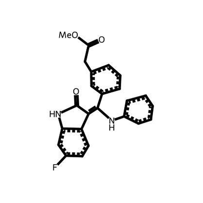 COC(=O)Cc1cccc(C(Nc2ccccc2)=C2C(=O)Nc3cc(F)ccc32)c1